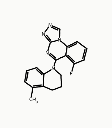 Cc1cccc2c1CCCN2c1nc2nncn2c2cccc(F)c12